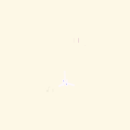 CCCN(C)CCP